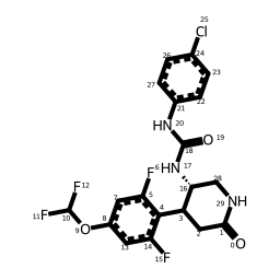 O=C1CC(c2c(F)cc(OC(F)F)cc2F)[C@H](NC(=O)Nc2ccc(Cl)cc2)CN1